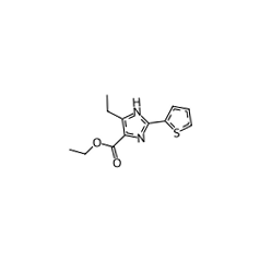 CCOC(=O)c1nc(-c2cccs2)[nH]c1CC